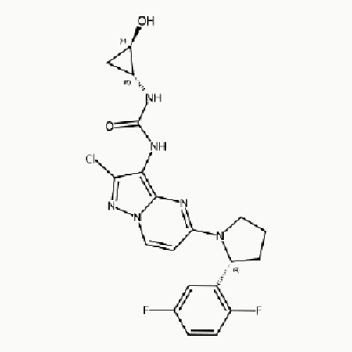 O=C(Nc1c(Cl)nn2ccc(N3CCC[C@@H]3c3cc(F)ccc3F)nc12)N[C@@H]1C[C@H]1O